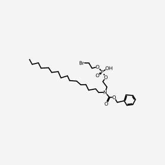 CCCCCCCCCCCCCCCCN(CCOP(=O)(O)OCCBr)C(=O)OCc1ccccc1